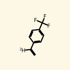 [2H]C(=C)c1ccc(C(F)(F)F)cc1